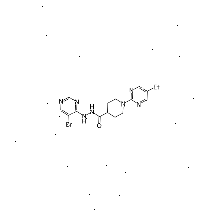 CCc1cnc(N2CCC(C(=O)NNc3ncncc3Br)CC2)nc1